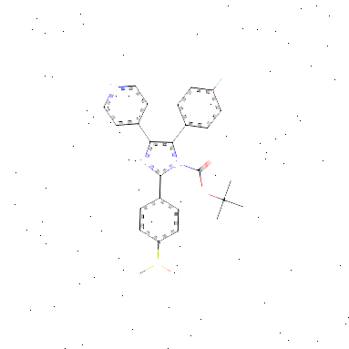 C[S+]([O-])c1ccc(-c2nc(-c3ccncc3)c(-c3ccc(F)cc3)n2C(=O)OC(C)(C)C)cc1